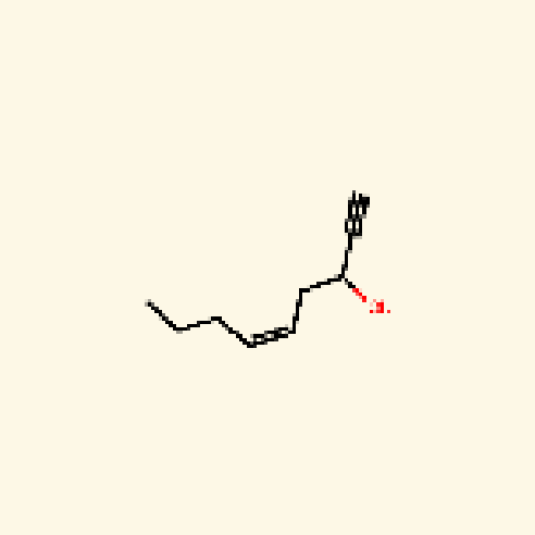 C#CC(O)C/C=C\CCC